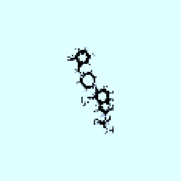 Cc1c(N2CCN(Cc3ccccc3F)CC2)ccc2oc(OC(=O)O)cc12